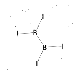 IB(I)B(I)I